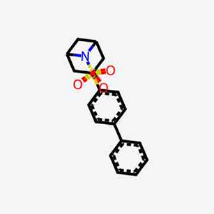 O=C1CC2CC(C1)N2S(=O)(=O)c1ccc(-c2ccccc2)cc1